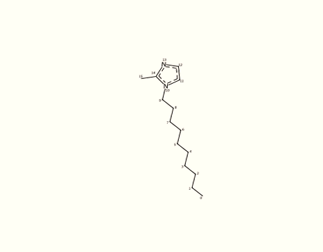 CCCCCCCCCCn1ccnc1C